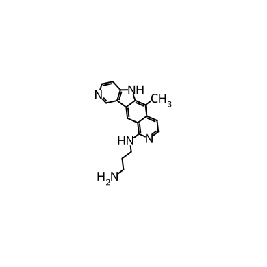 Cc1c2ccnc(NCCCN)c2cc2c1[nH]c1ccncc12